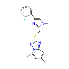 Cc1cc(C)n2nc(SCc3nc(-c4ccccc4F)cn3C)nc2c1